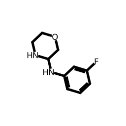 Fc1cccc(NC2COCCN2)c1